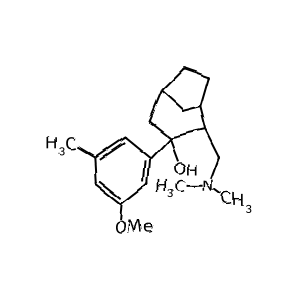 COc1cc(C)cc(C2(O)CC3CCC(C3)C2CN(C)C)c1